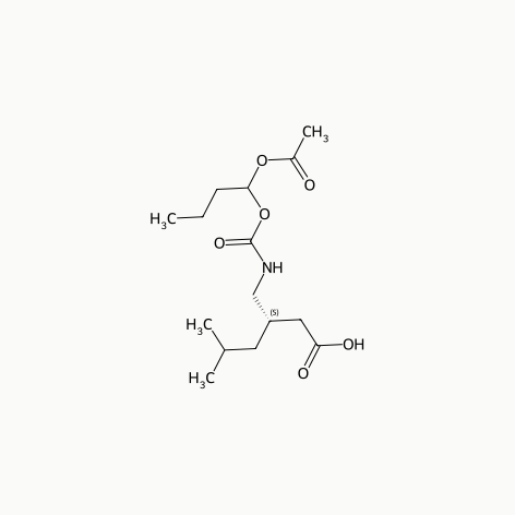 CCCC(OC(C)=O)OC(=O)NC[C@H](CC(=O)O)CC(C)C